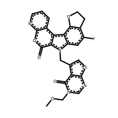 COCn1cnc2scc(Cn3c4cc(F)c5c(c4c4c6cccnc6oc(=O)c43)OCC5)c2c1=O